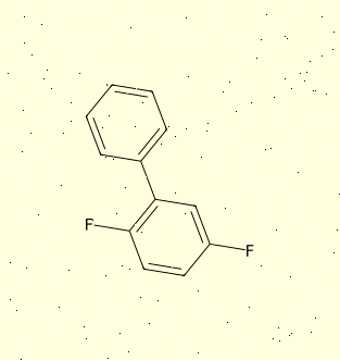 Fc1ccc(F)c(-c2cc[c]cc2)c1